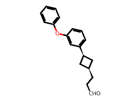 O=CCC[C@H]1C[C@@H](c2cccc(Oc3ccccc3)c2)C1